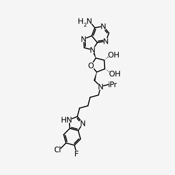 CC(C)N(CCCCc1nc2cc(F)c(Cl)cc2[nH]1)C[C@H]1O[C@@H](n2cnc3c(N)ncnc32)[C@H](O)[C@@H]1O